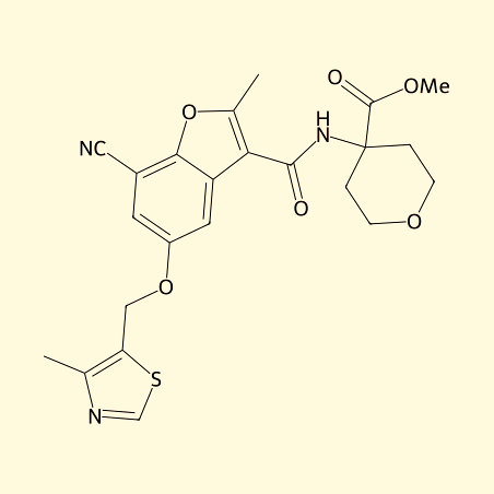 COC(=O)C1(NC(=O)c2c(C)oc3c(C#N)cc(OCc4scnc4C)cc23)CCOCC1